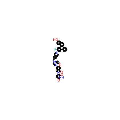 O=C1CCC(N2Cc3cc4c(cc3C2=O)OC[C@@H]2CN(CC3CC5(CCN(c6ccc([C@H]7c8ccc(O)cc8CC[C@H]7c7ccccc7)cc6F)CC5)C3)CCN42)C(=O)N1